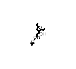 CCC1CC(C(O)CC(=O)OCOC(C)(C)C)C(CC)O1